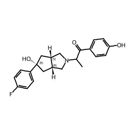 CC(C(=O)c1ccc(O)cc1)N1C[C@@H]2C[C@@](O)(c3ccc(F)cc3)C[C@@H]2C1